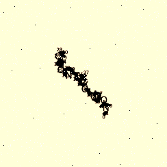 CCN1CC(OC2CCN(CCOCCC(CCc3ccc(O[C@H]4C[C@H](OC(C)(C)C)C4)cn3)C(C)(C)C)CC2)C1